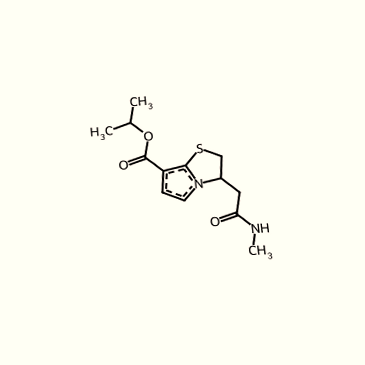 CNC(=O)CC1CSc2c(C(=O)OC(C)C)ccn21